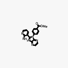 COC(=O)c1ccc(-n2c(-c3cccnc3N)nc3nccnc32)cc1